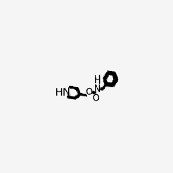 O=C(NCc1ccccc1)OCC1CCNCC1